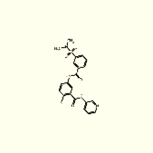 CN(C)S(=O)(=O)c1cccc(C(=O)Nc2ccc(Cl)c(C(=O)Nc3cccnc3)c2)c1